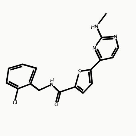 CNc1nccc(-c2ccc(C(=O)NCc3ccccc3Cl)s2)n1